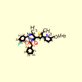 COCc1cccc(-c2cc(-c3c(C)nc(-c4cccc(F)c4O)n(CCc4ccccc4)c3=O)sc2C)n1